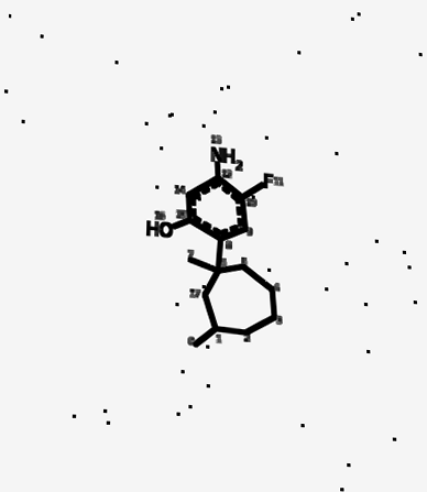 CC1CCCCC(C)(c2cc(F)c(N)cc2O)C1